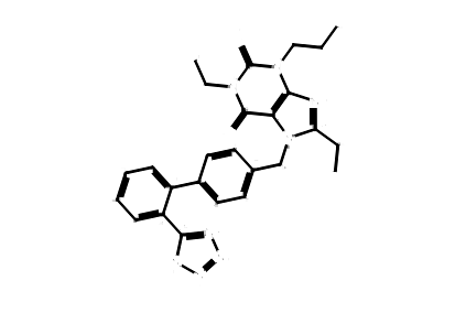 CCCn1c(=O)n(CC)c(=O)c2c1nc(CC)n2Cc1ccc(-c2ccccc2-c2nnn[nH]2)cc1